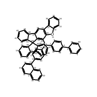 c1ccc(-c2ccc(N(c3ccc(-c4cccc5ccccc45)cc3)c3c4c(cc5c3oc3ccccc35)-c3ccccc3C43c4ccccc4-c4ccccc43)cc2)cc1